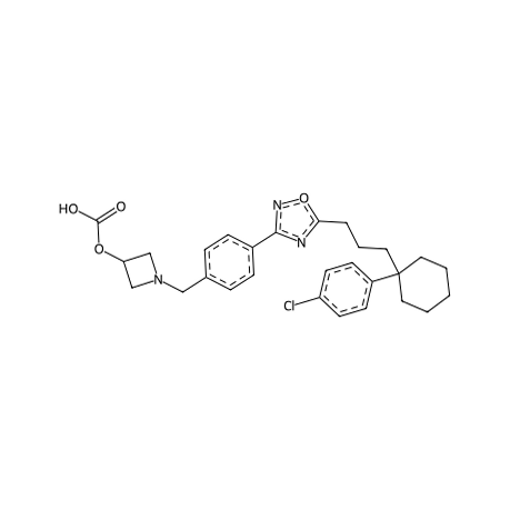 O=C(O)OC1CN(Cc2ccc(-c3noc(CCCC4(c5ccc(Cl)cc5)CCCCC4)n3)cc2)C1